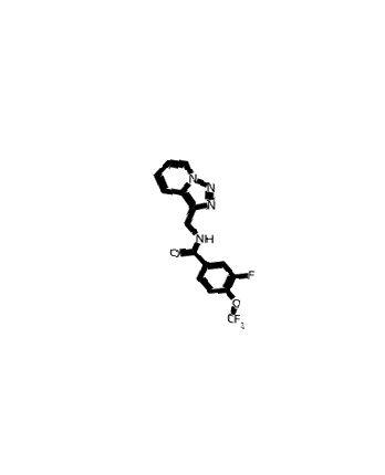 O=C(NCc1nnn2ccccc12)c1ccc(OC(F)(F)F)c(F)c1